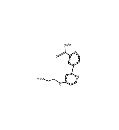 COCCNc1cc(-c2cccc(C(=O)OC)c2)ncn1